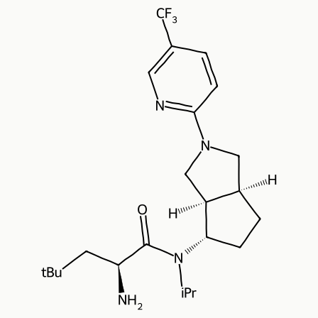 CC(C)N(C(=O)[C@@H](N)CC(C)(C)C)[C@H]1CC[C@@H]2CN(c3ccc(C(F)(F)F)cn3)C[C@@H]21